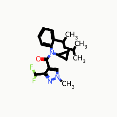 CC(C)CC(C)c1ccccc1N(C(=O)c1cn(C)nc1C(F)F)C1CC1